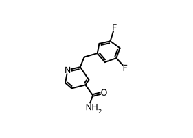 NC(=O)c1ccnc(Cc2cc(F)cc(F)c2)c1